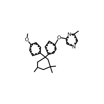 COc1ccc(C2(c3ccc(Oc4cncc(C)n4)cc3)CC(C)CC(C)(C)C2)cc1